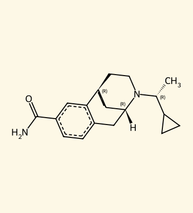 C[C@H](C1CC1)N1CC[C@]23CCCCC2[C@H]1Cc1ccc(C(N)=O)cc13